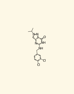 CC(C)n1cc2nc(NCc3ccc(Cl)c(Cl)c3)[nH]c(=O)c2n1